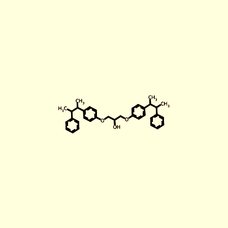 CC(c1ccccc1)C(C)c1ccc(OCC(O)COc2ccc(C(C)C(C)c3ccccc3)cc2)cc1